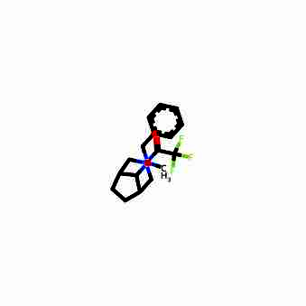 CN(Cc1ccccc1)C1C2CCC1CN(C(=O)C(F)(F)F)C2